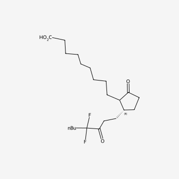 CCCCC(F)(F)C(=O)CC[C@H]1CCC(=O)C1CCCCCCCCC(=O)O